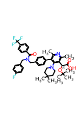 Cc1nc(C)c([C@H](OC(C)(C)C)C(=O)O)c(N2CCC(C)(C)CC2)c1-c1ccc(CN(Cc2ccc(F)cc2)C(=O)c2ccc(C(F)(F)F)cc2)cc1